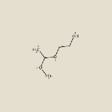 [CH2]C(OCCO)OCCCC